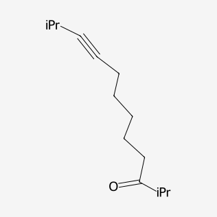 CC(C)C#CCCCCCC(=O)C(C)C